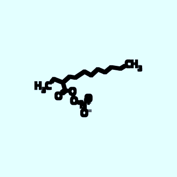 CCCCCCCCCC(CC)C(=O)OO[N+](=O)[O-]